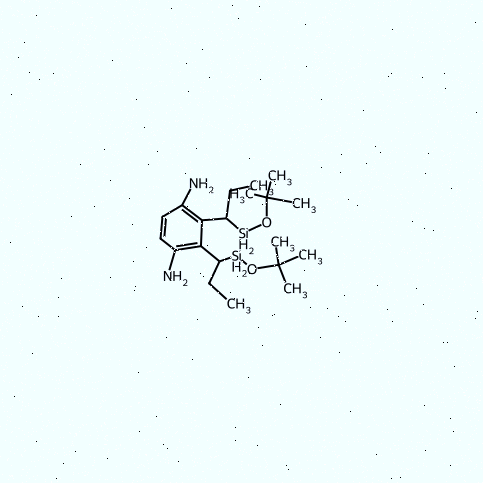 CCC([SiH2]OC(C)(C)C)c1c(N)ccc(N)c1C(CC)[SiH2]OC(C)(C)C